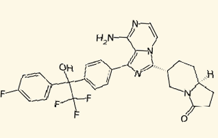 Nc1nccn2c([C@@H]3CC[C@H]4CCC(=O)N4C3)nc(-c3ccc(C(O)(c4ccc(F)cc4)C(F)(F)F)cc3)c12